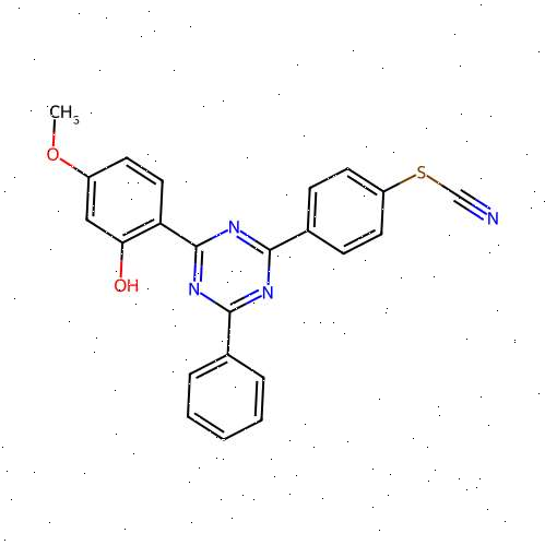 COc1ccc(-c2nc(-c3ccccc3)nc(-c3ccc(SC#N)cc3)n2)c(O)c1